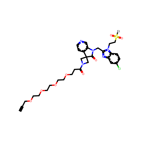 C#CCOCCOCCOCCOCCC(=O)N1CC2(C1)C(=O)N(Cc1nc3cc(Cl)ccc3n1CCS(=O)(=O)CC)c1cnccc12